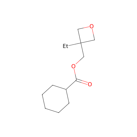 CCC1(COC(=O)C2CCCCC2)COC1